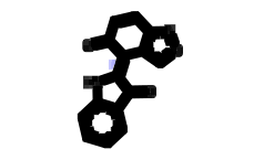 O=C1C=Cc2nocc2/C1=C1/Nc2ccccc2C1=O